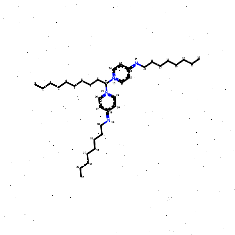 CCCCCCCCCC(n1ccc(=NCCCCCCCC)cc1)n1ccc(=NCCCCCCCC)cc1